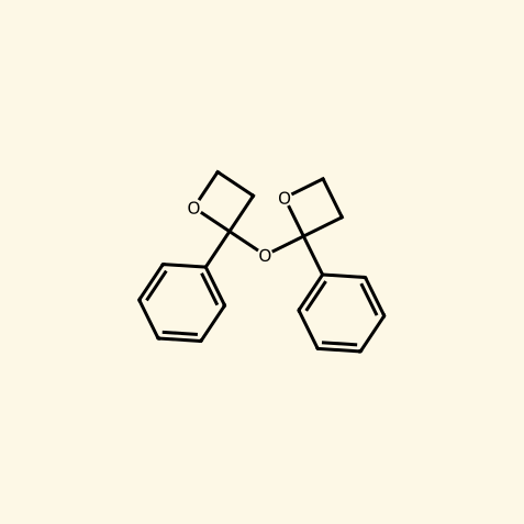 c1ccc(C2(OC3(c4ccccc4)CCO3)CCO2)cc1